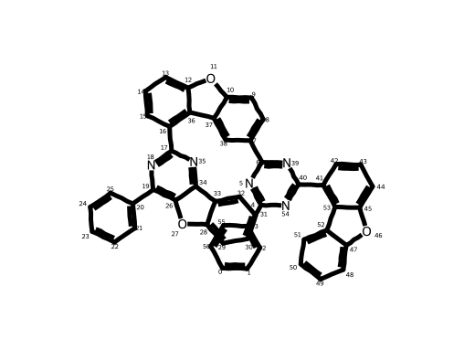 c1ccc(-c2nc(-c3ccc4oc5cccc(-c6nc(-c7ccccc7)c7oc8ccccc8c7n6)c5c4c3)nc(-c3cccc4oc5ccccc5c34)n2)cc1